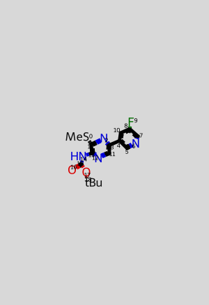 CSc1nc(-c2cncc(F)c2)cnc1NC(=O)OC(C)(C)C